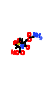 CC1(C)[C@H](C(=O)O)N2C(=O)[C@H](COC(=O)CN)[C@H]2S1(=O)=O